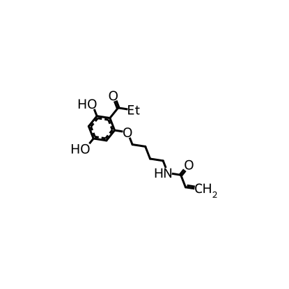 C=CC(=O)NCCCCOc1cc(O)cc(O)c1C(=O)CC